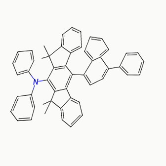 CC1(C)c2ccccc2-c2c(-c3ccc(-c4ccccc4)c4ccccc34)c3c(c(N(c4ccccc4)c4ccccc4)c21)C(C)(C)c1ccccc1-3